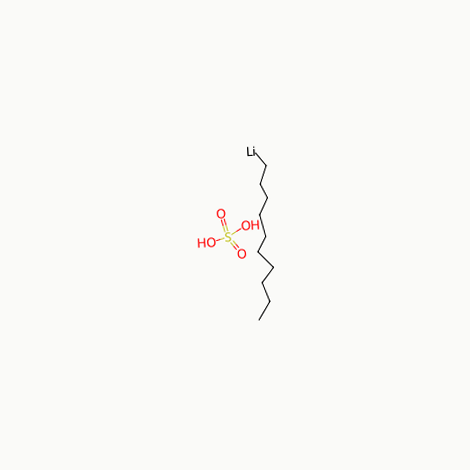 O=S(=O)(O)O.[Li][CH2]CCCCCCCCC